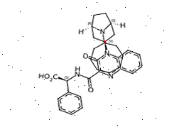 O=C(N[C@H](C(=O)O)c1ccccc1)c1nc2ccccc2n([C@H]2C[C@H]3CC[C@@H](C2)N3C2CCCCCCC2)c1=O